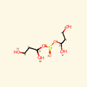 O=S(OC(O)CCO)OC(O)CCO